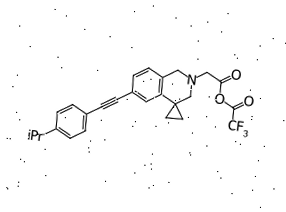 CC(C)c1ccc(C#Cc2ccc3c(c2)C2(CC2)CN(CC(=O)OC(=O)C(F)(F)F)C3)cc1